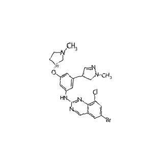 CN1CC[C@@H](Oc2cc(Nc3ncc4cc(Br)cc(Cl)c4n3)cc(C3C=NN(C)C3)c2)C1